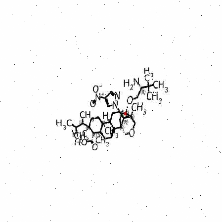 CC(C)[C@@H](C)[C@@]1(C)CC[C@]2(C)[C@H]3CC[C@@H]4[C@@]5(COC[C@@]4(C)[C@@H](OC[C@H](N)C(C)(C)C)[C@H](n4cc([N+](=O)[O-])cn4)C5)C3=CC[C@@]2(C)[C@@H]1C(=O)O